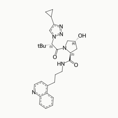 CC(C)(C)[C@@H](C(=O)N1C[C@H](O)C[C@H]1C(=O)NCCCc1ccnc2ccccc12)n1cc(C2CC2)nn1